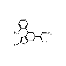 C=CC(=C)N1Cc2sc(Cl)cc2C(c2ccccc2C)C1